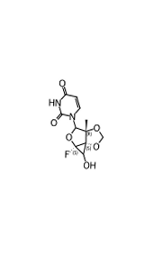 C[C@@]12OCO[C@@]13C(O)[C@@]3(F)OC2n1ccc(=O)[nH]c1=O